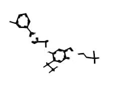 Cc1cccc(-c2nc(C(=O)Nc3cc4cn(CCC(C)(C)O)nc4cc3C(C)(O)C(F)(F)F)co2)c1